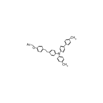 CC(=O)COc1ccc(CCc2ccc(N(c3ccc(C)cc3)c3ccc(-c4ccc(C)cc4)cc3)cc2)cc1